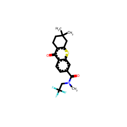 CN(CC(F)(F)F)C(=O)c1ccc2c(=O)c3c(sc2c1)CC(C)(C)CC3